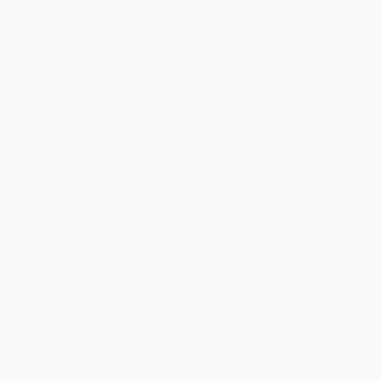 Cc1cccc(CC2OC=CO2)c1